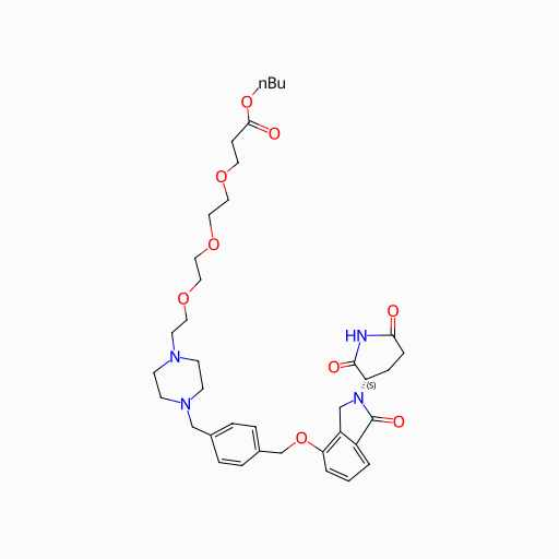 CCCCOC(=O)CCOCCOCCOCCN1CCN(Cc2ccc(COc3cccc4c3CN([C@H]3CCC(=O)NC3=O)C4=O)cc2)CC1